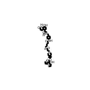 CN(CCCCC(=O)Nc1ccc(CNC[C@H](O)c2ccc(O)c3[nH]c(=O)ccc23)cc1)C(=O)CCN1CCC2(CC1)CC(OC(=O)C(O)(c1cccs1)c1cccs1)C2